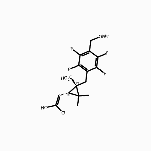 COCc1c(F)c(F)c(C[C@@]2(C(=O)O)[C@@H](C=C(Cl)C#N)C2(C)C)c(F)c1F